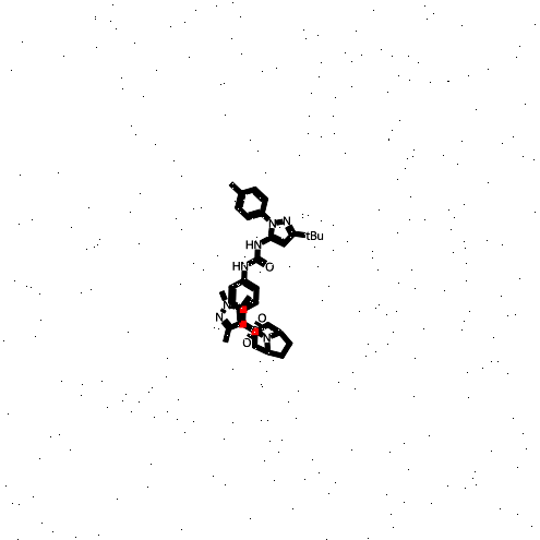 Cc1ccc(-n2nc(C(C)(C)C)cc2NC(=O)Nc2ccc(CC3CC4CCC(C3)N4S(=O)(=O)c3c(C)nn(C)c3C)cc2)cc1